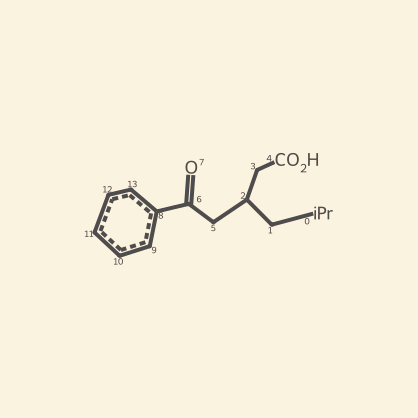 CC(C)CC(CC(=O)O)CC(=O)c1ccccc1